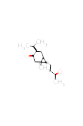 CC(=O)CC[C@@H]1C2CC(=C(C)C)C(=O)C[C@]21C